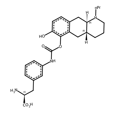 CCCN1CCC[C@@H]2Cc3c(ccc(O)c3OC(=O)Nc3cccc(C[C@H](N)C(=O)O)c3)C[C@H]21